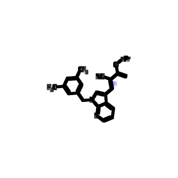 C=C(OCCC)/C(C#N)=C/c1cn(Cc2cc(C(F)(F)F)cc(C(F)(F)F)c2)c2ncccc12